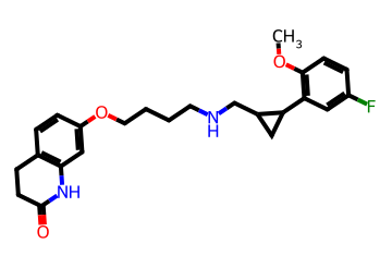 COc1ccc(F)cc1C1CC1CNCCCCOc1ccc2c(c1)NC(=O)CC2